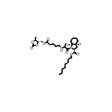 CCCCCCCCOC(=O)[C@@H]1C[C@@H]2CCCC[C@@H]2N1C(=O)C(C)NCCCCC(=O)OC[C@@H]1OC(=O)OC1C